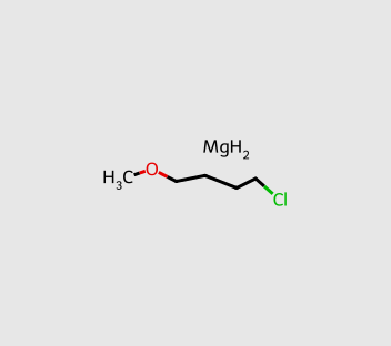 COCCCCCl.[MgH2]